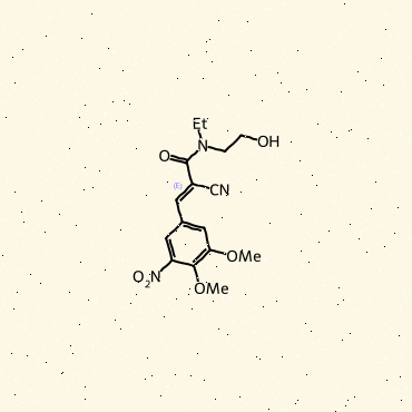 CCN(CCO)C(=O)/C(C#N)=C/c1cc(OC)c(OC)c([N+](=O)[O-])c1